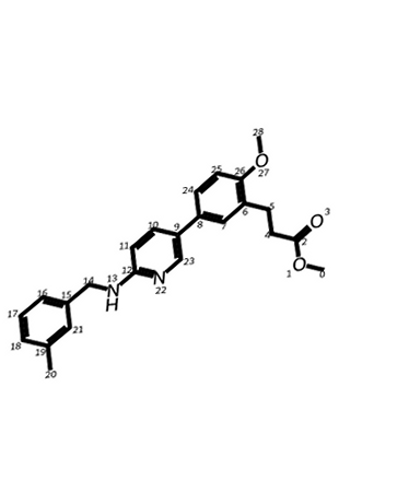 COC(=O)CCc1cc(-c2ccc(NCc3cccc(C)c3)nc2)ccc1OC